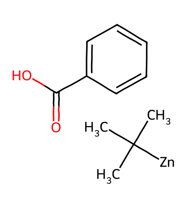 C[C](C)(C)[Zn].O=C(O)c1ccccc1